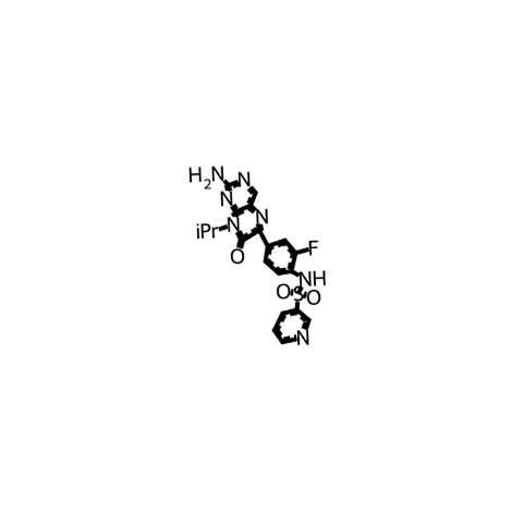 CC(C)n1c(=O)c(-c2ccc(NS(=O)(=O)c3cccnc3)c(F)c2)nc2cnc(N)nc21